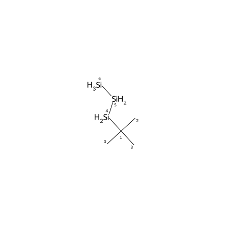 CC(C)(C)[SiH2][SiH2][SiH3]